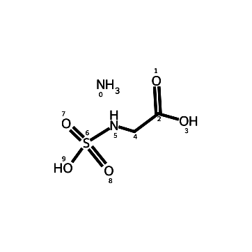 N.O=C(O)CNS(=O)(=O)O